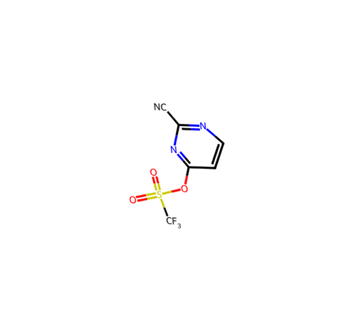 N#Cc1nccc(OS(=O)(=O)C(F)(F)F)n1